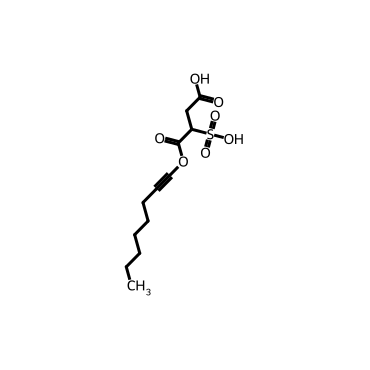 CCCCCCC#COC(=O)C(CC(=O)O)S(=O)(=O)O